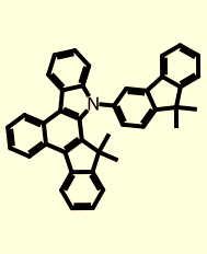 CC1(C)c2ccccc2-c2cc(-n3c4ccccc4c4c5ccccc5c5c(c43)C(C)(C)c3ccccc3-5)ccc21